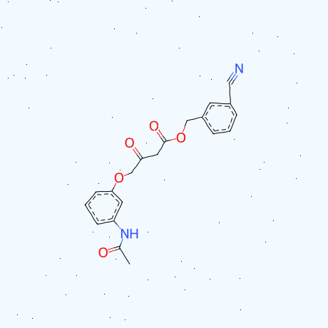 CC(=O)Nc1cccc(OCC(=O)CC(=O)OCc2cccc(C#N)c2)c1